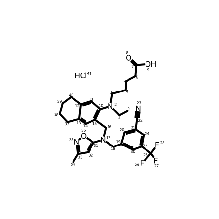 CCN(CCCCC(=O)O)c1cc2c(cc1CN(Cc1cc(C#N)cc(C(F)(F)F)c1)c1cc(C)no1)CCCC2.Cl